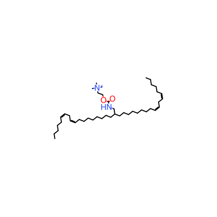 CCCCC/C=C\C/C=C\CCCCCCCCC(CCCCCCCC/C=C\C/C=C\CCCCC)CNC(=O)OCC[N+](C)(C)C